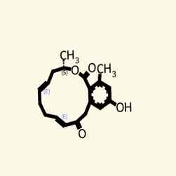 Cc1cc(O)cc2c1C(=O)O[C@@H](C)C/C=C/CC/C=C/C(=O)C2